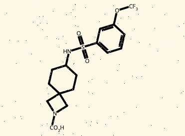 O=C(O)N1CC2(CCC(NS(=O)(=O)c3cccc(OC(F)(F)F)c3)CC2)C1